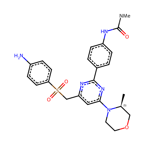 CNC(=O)Nc1ccc(-c2nc(CS(=O)(=O)c3ccc(N)cc3)cc(N3CCOC[C@@H]3C)n2)cc1